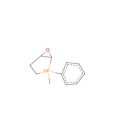 C[PH]1(c2ccccc2)CCC2OC21